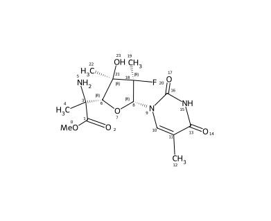 COC(=O)C(C)(N)[C@H]1O[C@@H](n2cc(C)c(=O)[nH]c2=O)[C@](C)(F)[C@]1(C)O